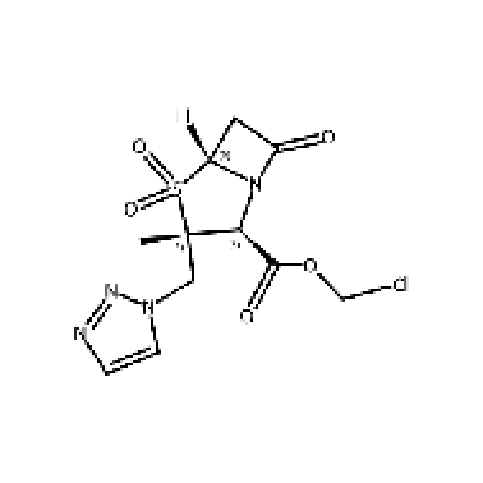 C[C@]1(Cn2ccnn2)[C@H](C(=O)OCCl)N2C(=O)C[C@H]2S1(=O)=O